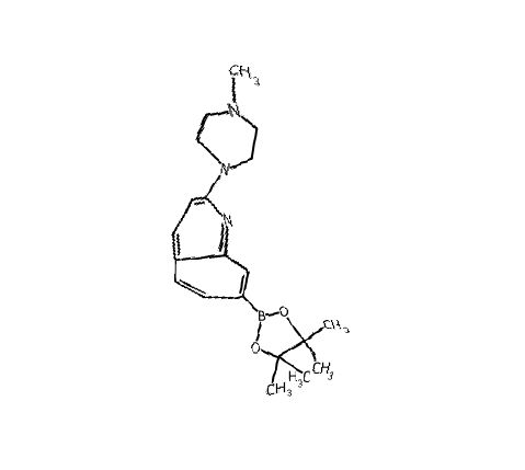 CN1CCN(c2ccc3ccc(B4OC(C)(C)C(C)(C)O4)cc3n2)CC1